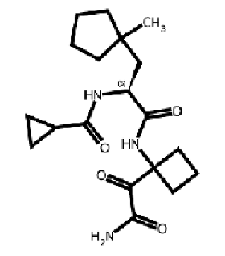 CC1(C[C@H](NC(=O)C2CC2)C(=O)NC2(C(=O)C(N)=O)CCC2)CCCC1